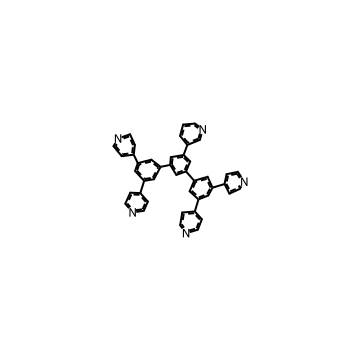 c1cncc(-c2cc(-c3cc(-c4ccncc4)cc(-c4ccncc4)c3)cc(-c3cc(-c4ccncc4)cc(-c4ccncc4)c3)c2)c1